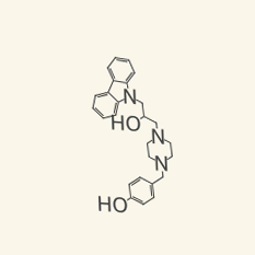 Oc1ccc(CN2CCN(CC(O)Cn3c4ccccc4c4ccccc43)CC2)cc1